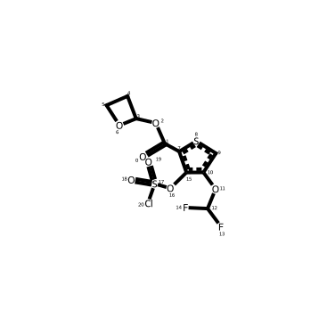 O=C(OC1CCO1)c1scc(OC(F)F)c1OS(=O)(=O)Cl